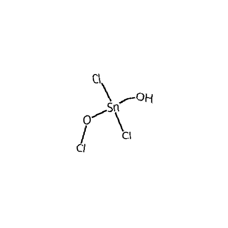 [OH][Sn]([Cl])([Cl])[O]Cl